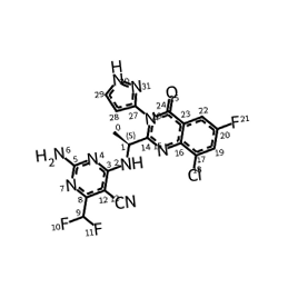 C[C@H](Nc1nc(N)nc(C(F)F)c1C#N)c1nc2c(Cl)cc(F)cc2c(=O)n1-c1cc[nH]n1